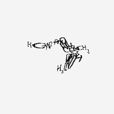 CNC(=O)n1ccc2cc(N(C)c3ccnc(NC(=O)c4ccc(C5CCN(CCO)CC5)cc4)c3)c(Cl)cc21